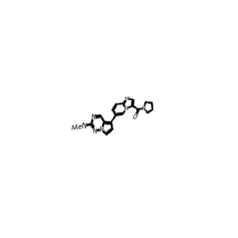 CNc1ncc2c(-c3ccc4ncc(C(=O)N5CCCC5)n4c3)ccn2n1